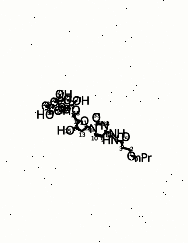 CCCOCCC(=O)NNc1ccn(C2CC(O)C(COP(=O)(O)OP(=O)(O)OP(=O)(O)O)O2)c(=O)n1